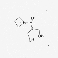 O=C(N(CO)CO)N1CCC1